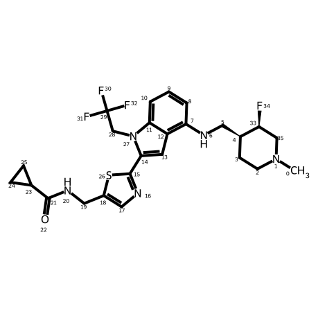 CN1CC[C@@H](CNc2cccc3c2cc(-c2ncc(CNC(=O)C4CC4)s2)n3CC(F)(F)F)[C@@H](F)C1